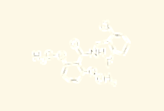 COc1cccc(OC)c1C(=O)NCc1c(F)cccc1Cl